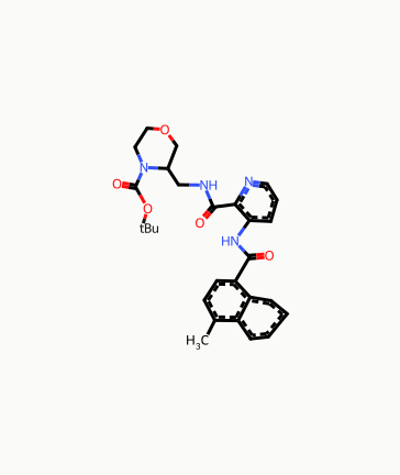 Cc1ccc(C(=O)Nc2cccnc2C(=O)NCC2COCCN2C(=O)OC(C)(C)C)c2ccccc12